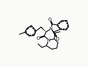 CCC1CCCC(CC)N1C(=O)[C@@H](Cc1ccc(C)cc1)N1C(=O)c2ccccc2C1=O